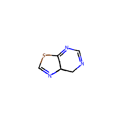 C1=NCC2N=CSC2=N1